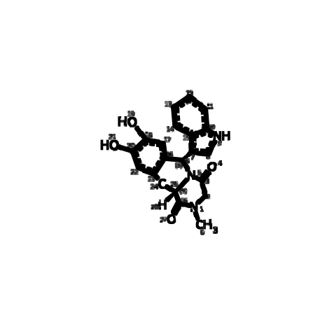 CN1CC(=O)N2[C@H](c3c[nH]c4ccccc34)c3cc(O)c(O)cc3C[C@H]2C1=O